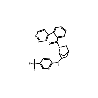 O=C(c1ccccc1-c1ccnnc1)N1CC2CC(Nc3ccc(C(F)(F)F)cn3)C1C2